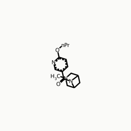 CCCOc1ccc(C(=O)N2C3CC2CN(C)C3)cn1